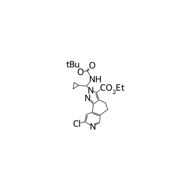 CCOC(=O)c1c2c(nn1C(NC(=O)OC(C)(C)C)C1CC1)-c1cc(Cl)ncc1CC2